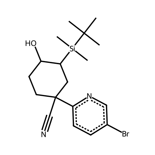 CC(C)(C)[Si](C)(C)C1CC(C#N)(c2ccc(Br)cn2)CCC1O